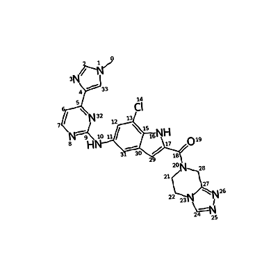 Cn1cnc(-c2ccnc(Nc3cc(Cl)c4[nH]c(C(=O)N5CCn6cnnc6C5)cc4c3)n2)c1